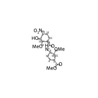 COC(=O)c1ccc(NC(=O)c2ccc([N+](=O)[O-])c(O)c2OC)c(OC)c1